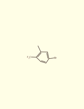 Cc1cc(Br)ccc1C(F)(F)F